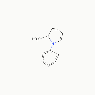 O=C(O)C1C=CC=CN1c1ccccc1